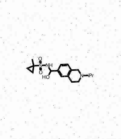 CC(C)N1CCc2cc(C(O)NS(=O)(=O)C3(C)CC3)ccc2C1